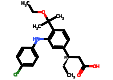 CCOC(C)(C)c1ccc([C@@H](CC)CC(=O)O)cc1Nc1ccc(Cl)cc1